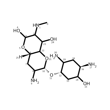 CNC1C(O)O[C@H]2CC(N)[C@@H](O[C@H]3CC(O)[C@H](N)CC3N)OC2C1O